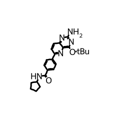 CC(C)(C)Oc1nc(N)nc2ccc(-c3ccc(C(=O)NC4CCCC4)cc3)nc12